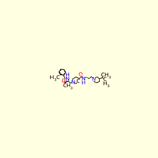 CC1=C(CN2CCC(C(=O)NCCCN3CCCC(C(C)C)C3)CC2)NC(c2ccccc2C)O1